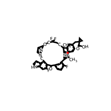 Cn1nc2nc1-c1cc(ccc1F)C(=O)c1c(F)cc3[nH]ccc3c1Cn1ccc(n1)OCC(F)(F)CCC2(C)c1cccc(CC2(C(=O)O)CC2)c1